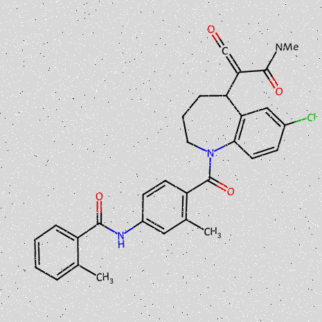 CNC(=O)C(=C=O)C1CCCN(C(=O)c2ccc(NC(=O)c3ccccc3C)cc2C)c2ccc(Cl)cc21